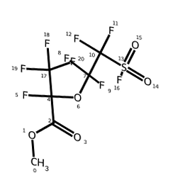 COC(=O)C(F)(OC(F)(F)C(F)(F)S(=O)(=O)F)C(F)(F)F